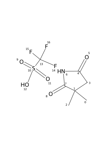 CC1(C)CC(=O)NC1=O.O=S(=O)(O)C(F)(F)F